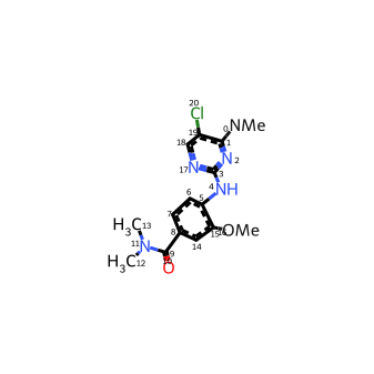 CNc1nc(Nc2ccc(C(=O)N(C)C)cc2OC)ncc1Cl